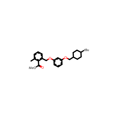 COC(=O)c1c(C)cccc1COc1cccc(OCC2CCC(C(C)(C)C)CC2)c1